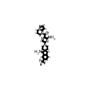 Nc1nc(N2CCC3(CC2)Cc2ccc(C(F)(F)F)cc2C3N)cnc1C(=O)N1CCCn2nccc21